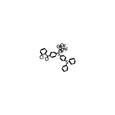 O=C(c1ccc(Sc2ccc([S+](c3ccccc3)c3ccccc3)cc2)cc1)c1ccccc1Cl.O=S(=O)([O-])C(F)(F)F